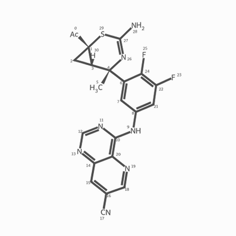 CC(=O)[C@]12C[C@H]1[C@@](C)(c1cc(Nc3ncnc4cc(C#N)cnc34)cc(F)c1F)N=C(N)S2